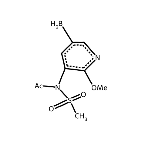 Bc1cnc(OC)c(N(C(C)=O)S(C)(=O)=O)c1